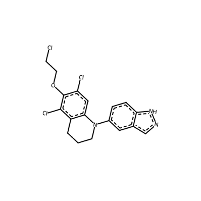 ClCCOc1c(Cl)cc2c(c1Cl)CCCN2c1ccc2[nH]ncc2c1